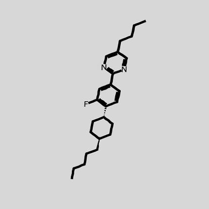 CCCCC[C@H]1CC[C@H](c2ccc(-c3ncc(CCCC)cn3)cc2F)CC1